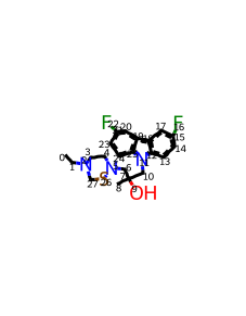 CCN1CCN(CC(C)(O)Cn2c3ccc(F)cc3c3cc(F)ccc32)SC1